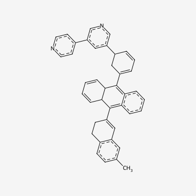 Cc1ccc2c(c1)C=C(C1=c3ccccc3=C(C3=CC=CC(c4cncc(-c5ccncc5)c4)C3)C3C=CC=CC13)CC2